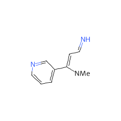 CN/C(=C\C=N)c1cccnc1